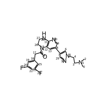 CN(C)CCn1cc(-c2cnc3c(c2)N(C(=O)Cc2cc(F)cc(F)c2)CCN3)cn1